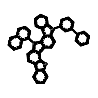 c1ccc(-c2cccc(-n3c4ccccc4c4c3ccc3c5c6oc7ccccc7c6ccc5n(-c5cccc6ccccc56)c34)c2)cc1